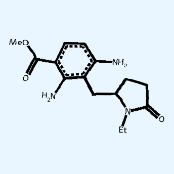 CCN1C(=O)CCC1Cc1c(N)ccc(C(=O)OC)c1N